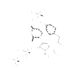 NCCc1ccc(O)cc1.O=P(O)(O)O.O=P(O)(O)O.O=P(O)(O)O.O=c1ccn([C@@H]2O[C@H](CO)[C@@H](O)[C@H]2O)c(=O)[nH]1